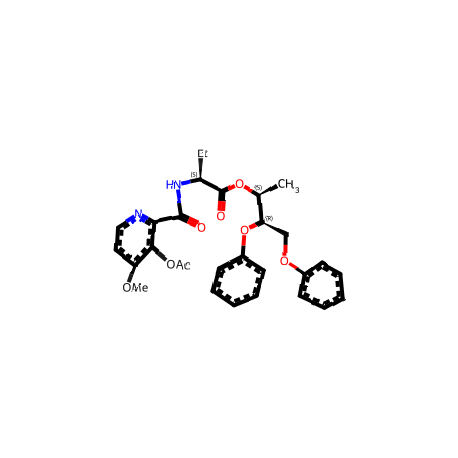 CC[C@H](NC(=O)c1nccc(OC)c1OC(C)=O)C(=O)O[C@@H](C)[C@@H](COc1ccccc1)Oc1ccccc1